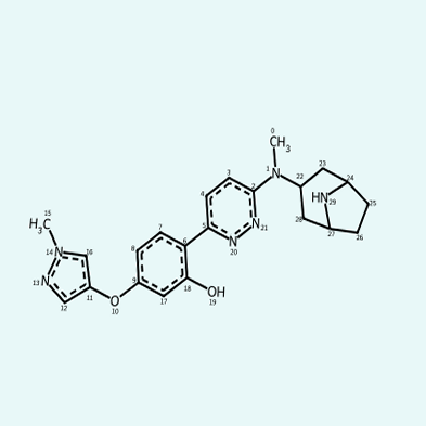 CN(c1ccc(-c2ccc(Oc3cnn(C)c3)cc2O)nn1)C1CC2CCC(C1)N2